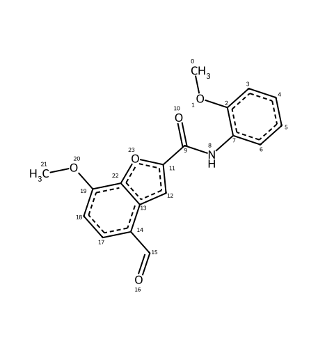 COc1ccccc1NC(=O)c1cc2c(C=O)ccc(OC)c2o1